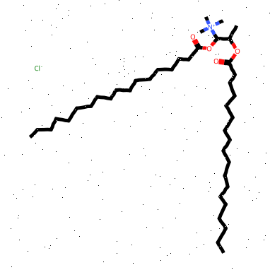 CCCCCCCCCCCCCCCCCC(=O)OC(C)C(OC(=O)CCCCCCCCCCCCCCCCC)[N+](C)(C)C.[Cl-]